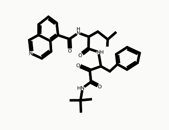 CC(C)CC(NC(=O)c1cccc2cnccc12)C(=O)NC(Cc1ccccc1)C(=O)C(=O)NC(C)(C)C